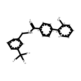 O=C(NCc1cccc(C(F)(F)F)c1)c1ccc(-c2ncccc2Cl)cc1